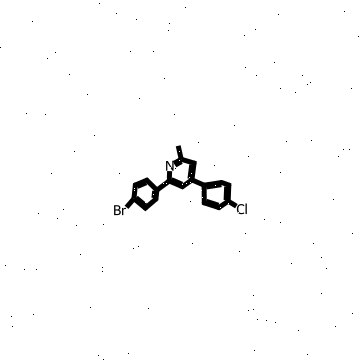 Cc1cc(-c2ccc(Cl)cc2)cc(-c2ccc(Br)cc2)n1